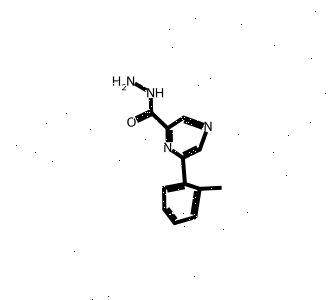 Cc1ccccc1-c1cncc(C(=O)NN)n1